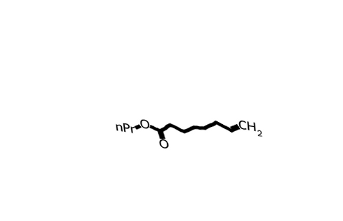 C=CCCCCCC(=O)OCCC